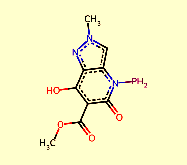 COC(=O)c1c(O)c2nn(C)cc2n(P)c1=O